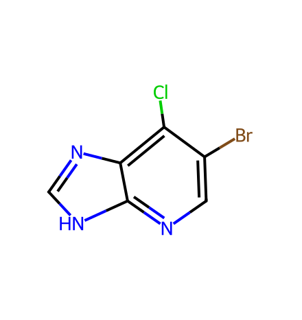 Clc1c(Br)cnc2[nH]cnc12